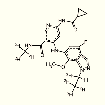 [2H]C([2H])([2H])NC(=O)c1cnc(NC(=O)C2CC2)cc1Nc1cc(F)c2cnn(C([2H])([2H])C([2H])([2H])[2H])c2c1OC